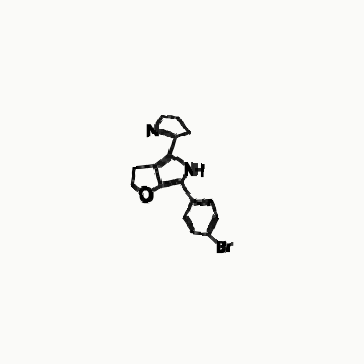 Brc1ccc(-c2[nH]c(C3=NCCC3)c3c2OCC3)cc1